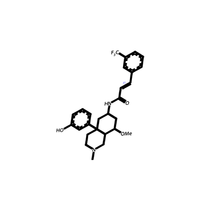 COC1CC(NC(=O)/C=C/c2cccc(C(F)(F)F)c2)CC2(c3cccc(O)c3)CCN(C)CC12